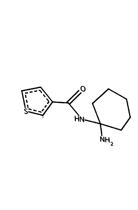 NC1(NC(=O)c2[c]scc2)CCCCC1